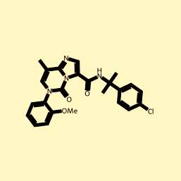 COc1ccccc1-n1cc(C)c2ncc(C(=O)NC(C)(C)c3ccc(Cl)cc3)n2c1=O